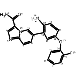 NC(=O)c1cnc2ccc(-c3cc(Oc4ccccc4F)ccc3N)cn12